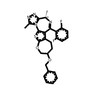 Cc1nnc2n1-c1sc3c(c1C(c1c(F)cccc1F)=N[C@H]2C)CCC(OCc1ccccc1)CO3